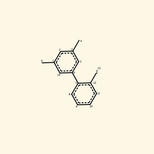 Cc1cc(C)cc(-c2ccccc2I)c1